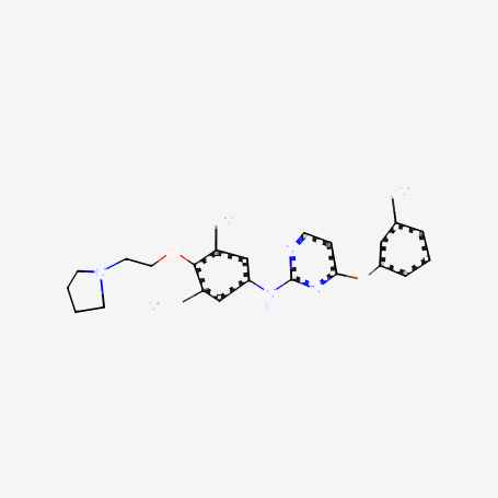 COc1cccc(Sc2ccnc(Nc3cc(OC)c(OCCN4CCCC4)c(OC)c3)n2)c1